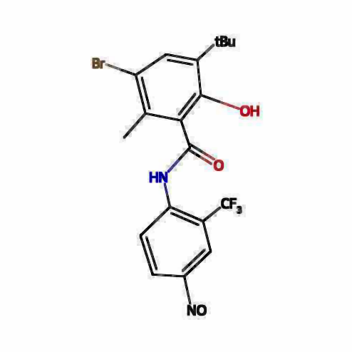 Cc1c(Br)cc(C(C)(C)C)c(O)c1C(=O)Nc1ccc(N=O)cc1C(F)(F)F